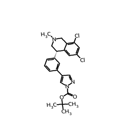 CN1Cc2c(Cl)cc(Cl)cc2[C@H](c2cccc(-c3cnn(C(=O)OC(C)(C)C)c3)c2)C1